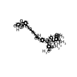 CC[C@H](C(=O)N1CCCC[C@H]1C(=O)O[C@H](CCc1ccc(OC)c(OC)c1)c1ccc(OCC(=O)NCCOCCOCCOc2cccc3c2C(=O)N(C2CCC(=O)NC2=O)C3=O)cc1)c1cc(OC)c(OC)c(OC)c1